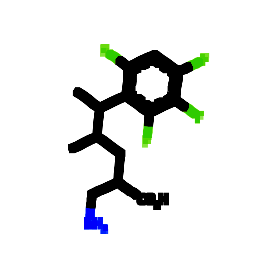 CC(CC(CN)C(=O)O)C(C)c1c(F)cc(F)c(F)c1F